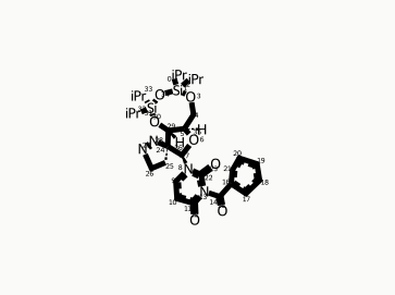 CC(C)[Si]1(C(C)C)OC[C@H]2O[C@@H](n3ccc(=O)n(C(=O)c4ccccc4)c3=O)[C@]3(CCN=N3)[C@@H]2O[Si](C(C)C)(C(C)C)O1